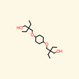 CCC(CC)(CO)COC1CCC(OCC(CC)(CC)CO)CC1